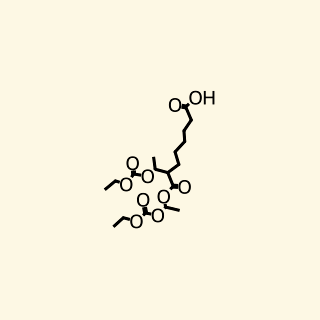 CCOC(=O)OC(C)OC(=O)C(CCCCCC(=O)O)C(C)OC(=O)OCC